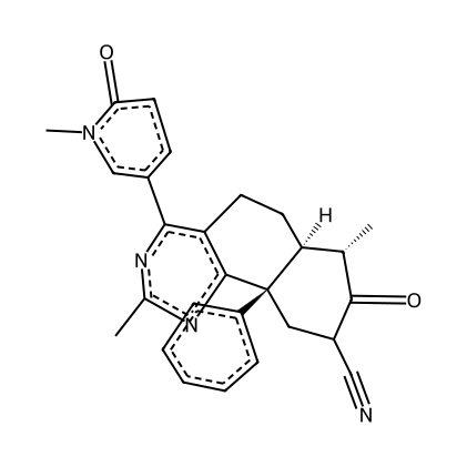 Cc1nc(-c2ccc(=O)n(C)c2)c2c(n1)[C@@]1(c3ccccc3)CC(C#N)C(=O)[C@@H](C)[C@@H]1CC2